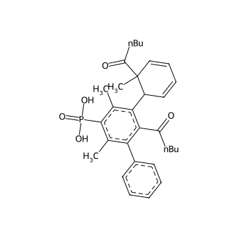 CCCCC(=O)c1c(-c2ccccc2)c(C)c(P(=O)(O)O)c(C)c1C1C=CC=CC1(C)C(=O)CCCC